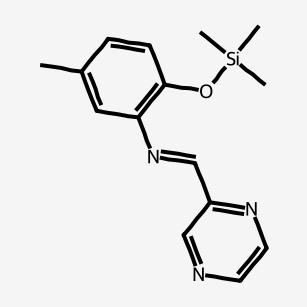 Cc1ccc(O[Si](C)(C)C)c(/N=C/c2cnccn2)c1